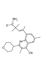 CC(=CC(C)(C)[S+](N)[O-])c1cc(C)cc2c(C#N)c(C)c(C3CCOCC3)nc12